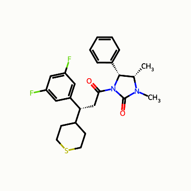 C[C@H]1[C@@H](c2ccccc2)N(C(=O)C[C@@H](c2cc(F)cc(F)c2)C2CCSCC2)C(=O)N1C